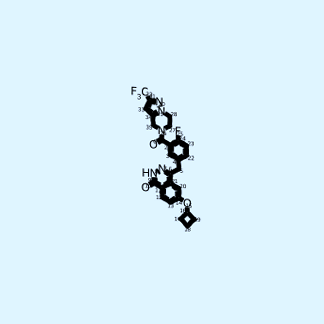 O=C(c1cc(Cc2n[nH]c(=O)c3ccc(OC4CCC4)cc23)ccc1F)N1CCn2nc(C(F)(F)F)cc2C1